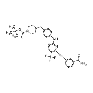 CC(C)(C)OC(=O)N1CCN(Cc2ccc(Nc3ncc(C(F)(F)F)c(C#Cc4cccc(C(N)=O)c4)n3)cc2)CC1